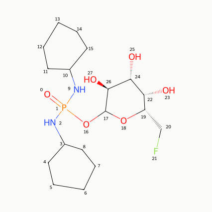 O=P(NC1CCCCC1)(NC1CCCCC1)OC1O[C@@H](CF)[C@@H](O)[C@@H](O)[C@@H]1O